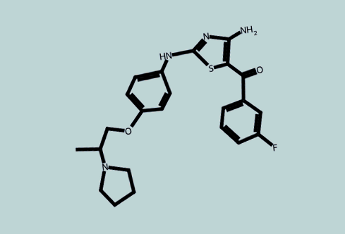 CC(COc1ccc(Nc2nc(N)c(C(=O)c3cccc(F)c3)s2)cc1)N1CCCC1